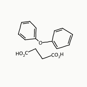 O=C(O)CCC(=O)O.c1ccc(Oc2ccccc2)cc1